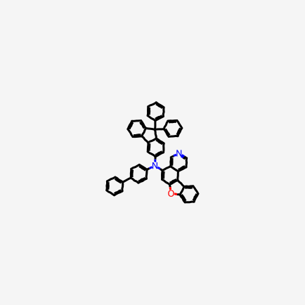 c1ccc(-c2ccc(N(c3ccc4c(c3)-c3ccccc3C4(c3ccccc3)c3ccccc3)c3cc4oc5ccccc5c4c4ccncc34)cc2)cc1